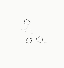 CNC(=O)[C@H](NCC[C@H](c1ccc(C(F)(F)F)cc1)c1cccnc1OC)c1ccccc1